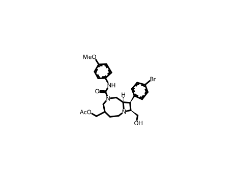 COc1ccc(NC(=O)N2CC(COC(C)=O)CCN3[C@H](CO)[C@H](c4ccc(Br)cc4)[C@@H]3C2)cc1